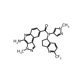 Cn1cc(N(C(=O)c2ccc3nc(N)c4c(cnn4C)c3c2)C2CCc3nc(C(F)(F)F)ccc32)cn1